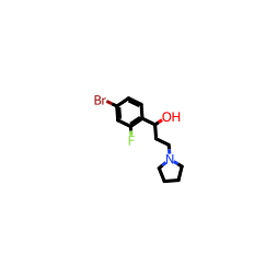 OC(CCN1CCCC1)c1ccc(Br)cc1F